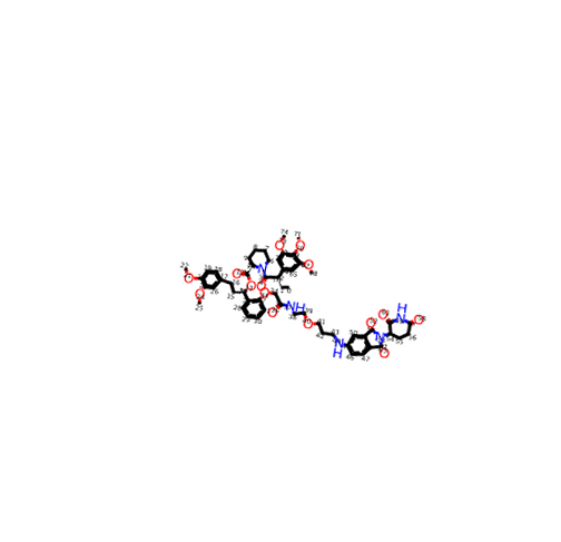 CC[C@H](C(=O)N1CCCC[C@H]1C(=O)O[C@H](CCc1ccc(OC)c(OC)c1)c1ccccc1OCC(=O)NCCOCCCNc1ccc2c(c1)C(=O)N(C1CCC(=O)NC1=O)C2=O)c1cc(OC)c(OC)c(OC)c1